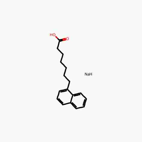 O=C(O)CCCCCCc1cccc2ccccc12.[NaH]